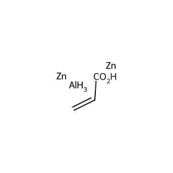 C=CC(=O)O.[AlH3].[Zn].[Zn]